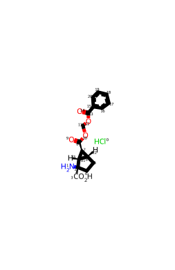 Cl.N[C@@]1(C(=O)O)CC[C@H]2[C@H](C(=O)OCOC(=O)c3ccccc3)[C@H]21